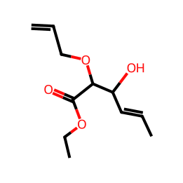 C=CCOC(C(=O)OCC)C(O)C=CC